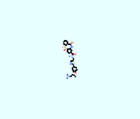 CC(CCN(C)C)Oc1ccc(-c2ncc(CNC(=O)c3ccc4c(c3)NC(=O)c3ccccc3S4(=O)=O)s2)cc1